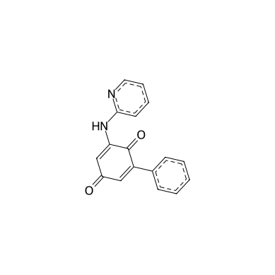 O=C1C=C(Nc2ccccn2)C(=O)C(c2ccccc2)=C1